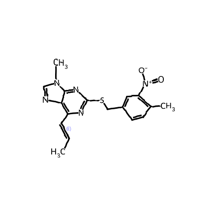 C/C=C/c1nc(SCc2ccc(C)c([N+](=O)[O-])c2)nc2c1ncn2C